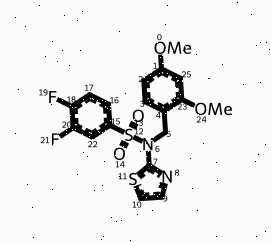 COc1ccc(CN(c2nccs2)S(=O)(=O)c2ccc(F)c(F)c2)c(OC)c1